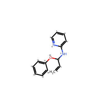 C=CC(Nc1ccccn1)Oc1ccccc1